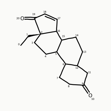 CC[C@]12CCC3C4CCC(=O)CC4CCC3C1C=CC2=O